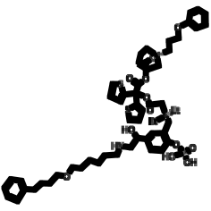 CC[N+](CC)(CC(=O)OC(C(=O)OC1C[N+]2(CCCOc3ccccc3)CCC1CC2)(c1cccs1)c1cccs1)Cc1cc(C(O)CNCCCCCCOCCCCc2ccccc2)ccc1OP(=O)(O)O